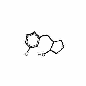 OC1CCCC1Cc1cccc(Cl)c1